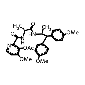 COc1ccc(C(c2ccc(OC)cc2)[C@H](C)NC(=O)[C@H](C)NC(=O)c2nccc(OC)c2OC(C)=O)cc1